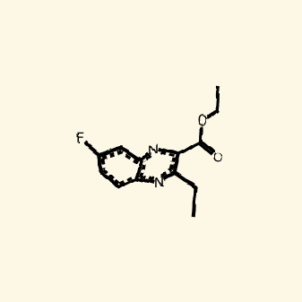 CCOC(=O)c1nc2cc(F)ccc2nc1CC